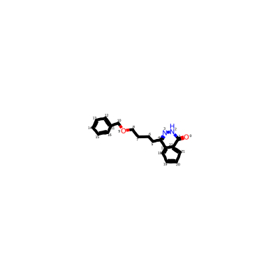 O=c1[nH]nc(CCCCOCc2ccccc2)c2ccccc12